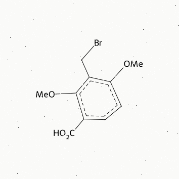 COc1ccc(C(=O)O)c(OC)c1CBr